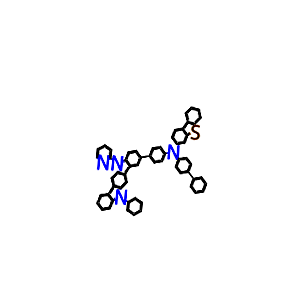 c1ccc(-c2ccc(N(c3ccc(-c4ccc5c(c4)c4cc6c(cc4n5-c4ccccn4)c4ccccc4n6-c4ccccc4)cc3)c3ccc4c(c3)sc3ccccc34)cc2)cc1